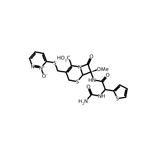 CO[C@]1(NC(=O)C(NC(N)=O)c2cccs2)C(=O)N2C(C(=O)O)=C(CSc3cccn[n+]3[O-])CSC21